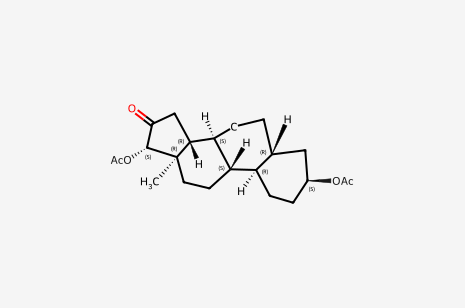 CC(=O)O[C@H]1CC[C@@H]2[C@H](CC[C@H]3[C@H]2CC[C@@]2(C)[C@H](OC(C)=O)C(=O)C[C@H]32)C1